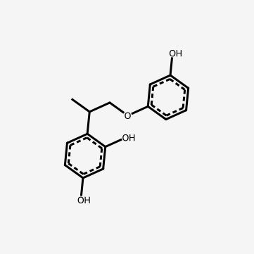 CC(COc1cccc(O)c1)c1ccc(O)cc1O